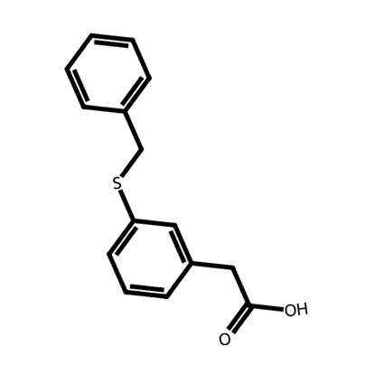 O=C(O)Cc1cccc(SCc2ccccc2)c1